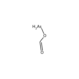 O=CO[AsH2]